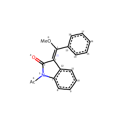 CO/C(=C1\C(=O)N(C(C)=O)c2ccccc21)c1ccccc1